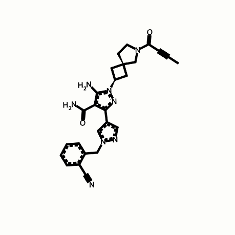 CC#CC(=O)N1CC[C@]2(C1)C[C@H](n1nc(-c3cnn(Cc4ccccc4C#N)c3)c(C(N)=O)c1N)C2